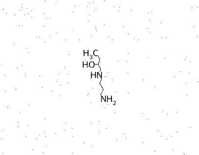 CCC(O)CNCCCCN